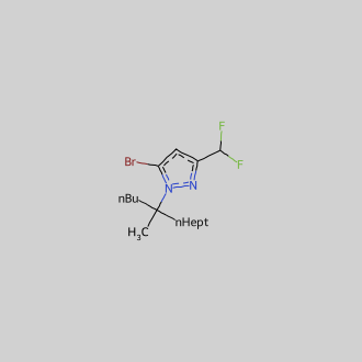 CCCCCCCC(C)(CCCC)n1nc(C(F)F)cc1Br